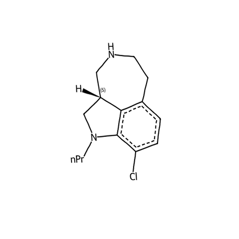 CCCN1C[C@@H]2CNCCc3ccc(Cl)c1c32